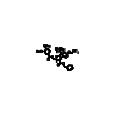 CC(=O)Oc1ccc(C(=O)OCC2(C)SC3N(C(=O)C3(NC=O)NC(=O)OCC(Cl)(Cl)Cl)C2C(=O)OCc2ccccc2)cc1OC(C)=O